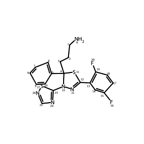 NCCCC1(c2ccccc2)SC(c2cc(F)ccc2F)=NN1c1ncns1